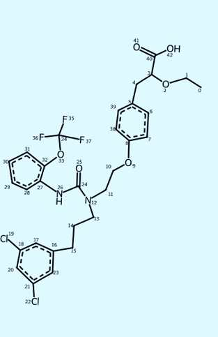 CCOC(Cc1ccc(OCCN(CCCc2cc(Cl)cc(Cl)c2)C(=O)Nc2ccccc2OC(F)(F)F)cc1)C(=O)O